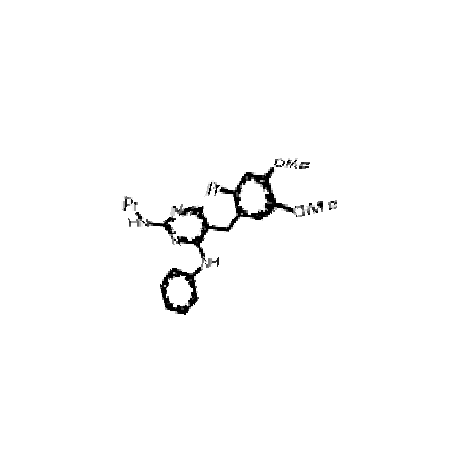 COc1cc(Cc2cnc(NC(C)C)nc2Nc2ccccc2)c(C(C)C)cc1OC